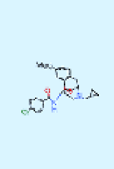 COc1ccc2c(c1)[C@]13CCN(CC4CC4)C(C2)C1OCC(NC(=O)c1ccc(Cl)cc1)C3